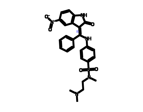 CN(C)CCN(C)S(=O)(=O)c1ccc(N/C(=C2\C(=O)Nc3ccc([N+](=O)[O-])cc32)c2ccccc2)cc1